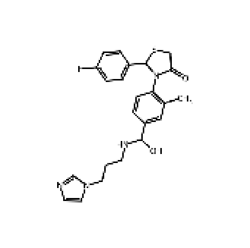 Cc1cc(C(O)NCCCn2ccnc2)ccc1N1C(=O)CSC1c1ccc(F)cc1